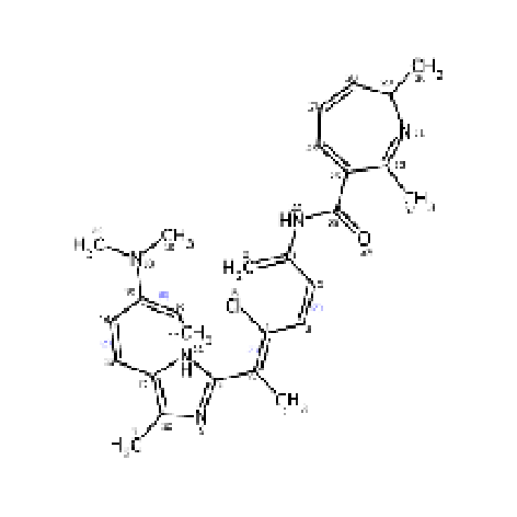 C=C(/C=C\C(Cl)=C(/C)c1nc(C)c(/C=C\C(=C/C)N(C)C)[nH]1)NC(=O)C1=CC=CC(C)N=C1C